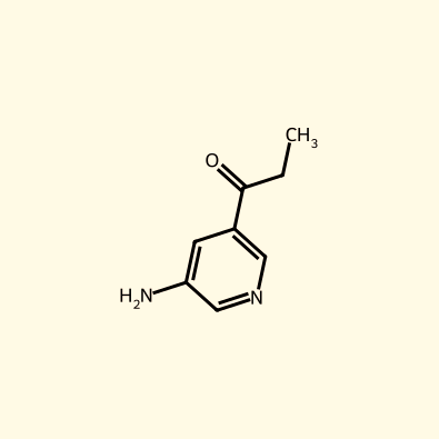 CCC(=O)c1cncc(N)c1